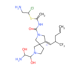 C=CCC(/C=C1\CN(C(=O)NC(=C)SC(Cl)CN)CC12CCN(C(O)C(N)O)C2)C(F)(F)F